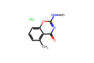 Cc1cccc2oc(NC(C)C)nc(=O)c12.Cl